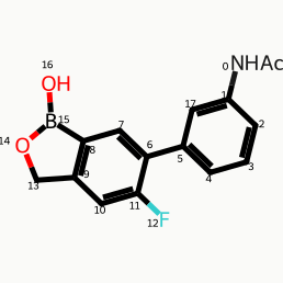 CC(=O)Nc1cccc(-c2cc3c(cc2F)COB3O)c1